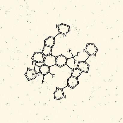 Fc1c(F)c(F)c(-c2cc(-n3c4cc(-c5ncccn5)ccc4c4ccc(-c5ncccn5)cc43)c(C(F)(F)F)cc2-n2c3cc(-c4ncccn4)ccc3c3ccc(-c4ncccn4)cc32)c(F)c1F